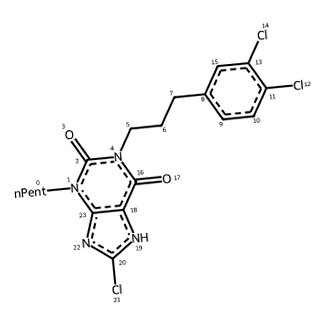 CCCCCn1c(=O)n(CCCc2ccc(Cl)c(Cl)c2)c(=O)c2[nH]c(Cl)nc21